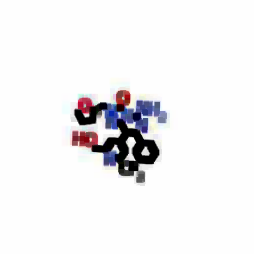 Nc1nc(-c2ccccc2)c(-c2cc(CO)nc(C(F)(F)F)c2)c2nn(C[C@H]3CCCO3)c(=O)n12